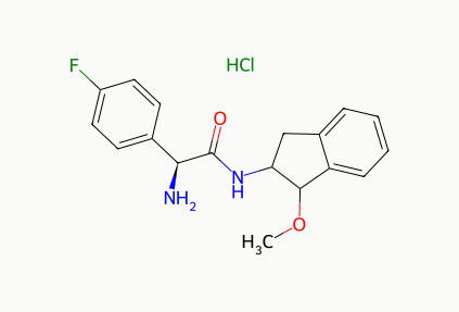 COC1c2ccccc2CC1NC(=O)[C@@H](N)c1ccc(F)cc1.Cl